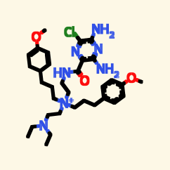 CCN(CC)CC[N+](CCCc1ccc(OC)cc1)(CCCC1C=CC(OC)=CC1)CCNC(=O)c1nc(Cl)c(N)nc1N